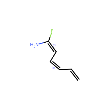 C=C/C=C\C=C(/N)F